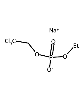 CCOP(=O)([O-])OCC(Cl)(Cl)Cl.[Na+]